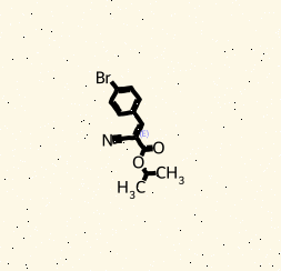 CC(C)OC(=O)/C(C#N)=C/c1ccc(Br)cc1